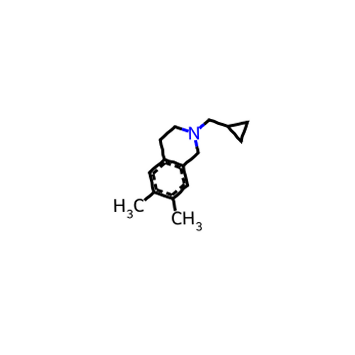 Cc1cc2c(cc1C)CN(CC1CC1)CC2